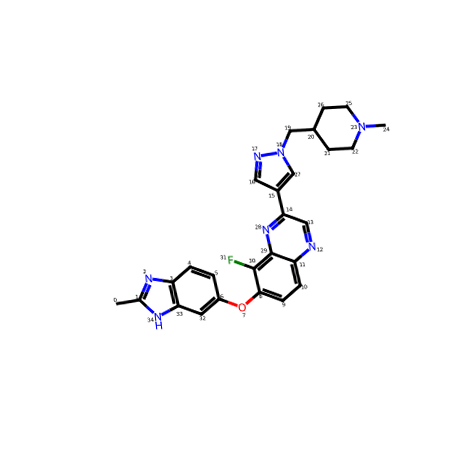 Cc1nc2ccc(Oc3ccc4ncc(-c5cnn(CC6CCN(C)CC6)c5)nc4c3F)cc2[nH]1